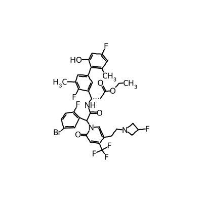 CCOC(=O)C[C@H](NC(=O)C(c1cc(Br)ccc1F)n1cc(CCN2CC(F)C2)c(C(F)(F)F)cc1=O)c1cc(-c2c(C)cc(F)cc2O)cc(C)c1F